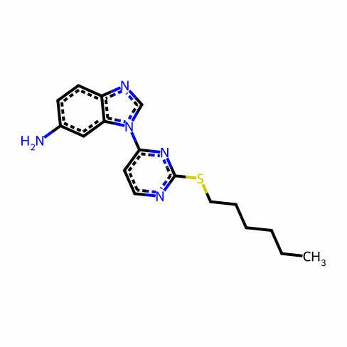 CCCCCCSc1nccc(-n2cnc3ccc(N)cc32)n1